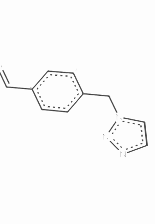 O=Cc1ccc(Cn2ccnn2)cc1